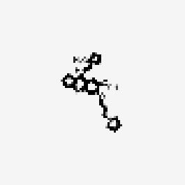 COc1cc2c(NCC3(C)CCC3)c3c(nc2cc1OCCCN1CCCC1)CCC3